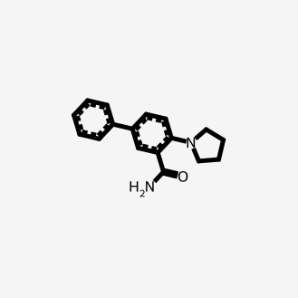 NC(=O)c1cc(-c2ccccc2)ccc1N1CCCC1